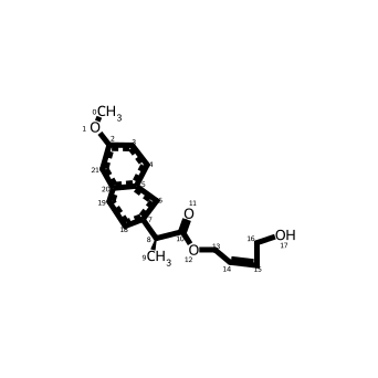 COc1ccc2cc([C@H](C)C(=O)OC/C=C\CO)ccc2c1